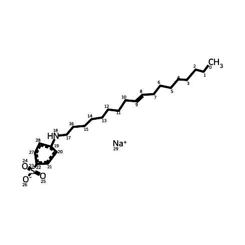 CCCCCCCCC=CCCCCCCCCNc1ccc(S(=O)(=O)[O-])cc1.[Na+]